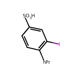 CCCc1ccc(S(=O)(=O)O)cc1I